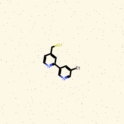 CCc1cncc(-c2cc(CS)ccn2)c1